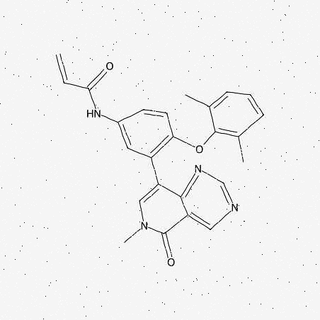 C=CC(=O)Nc1ccc(Oc2c(C)cccc2C)c(-c2cn(C)c(=O)c3cncnc23)c1